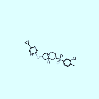 Cc1ccc(S(=O)(=O)N2CCN3C[C@H](Oc4cnc(C5CC5)cn4)C[C@H]3C2)cc1Cl